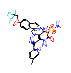 CNS(=O)(=O)CC(=O)Nc1c(-c2ccc(C)cn2)nn2c1C(=O)N[C@@]1(CCc3cc(OCC(F)(F)F)ccc31)C2